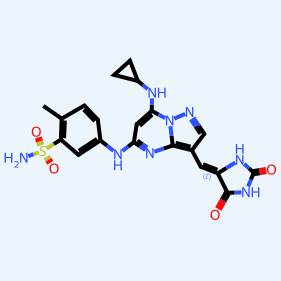 Cc1ccc(Nc2cc(NC3CC3)n3ncc(/C=C4\NC(=O)NC4=O)c3n2)cc1S(N)(=O)=O